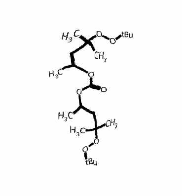 CC(CC(C)(C)OOC(C)(C)C)OC(=O)OC(C)CC(C)(C)OOC(C)(C)C